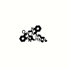 Cc1cc2n(Cc3nc(NCc4cn(C)cn4)c4ccccc4n3)c(=O)c3ccccc3n2n1